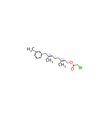 C/C(=C\COC(=O)CBr)CC/C=C(\C)Cc1cccc(C)c1